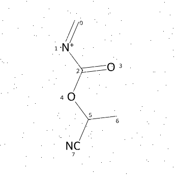 C=[N+]C(=O)OC(C)C#N